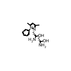 Cc1cc(C)n(-c2ccccc2)n1.NC(O)=S.NC(O)=S